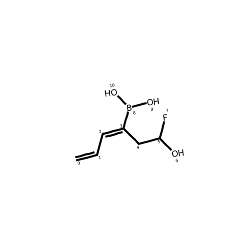 C=C/C=C(\CC(O)F)B(O)O